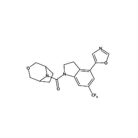 O=C(N1CCc2c(-c3cnco3)cc(C(F)(F)F)cc21)N1C2CCC1COC2